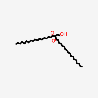 CCCCCCCCCCCCCCCCCC(=O)C(CCO)C(=O)CCCCCCCCCCCCCCCCC